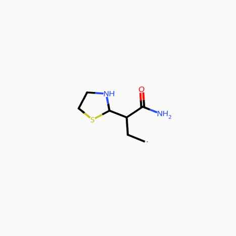 [CH2]CC(C(N)=O)C1NCCS1